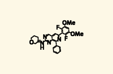 COc1cc(OC)c(F)c(-c2cc3cnc(N[C@H]4CCCOC4)nc3c(-c3ccccc3)n2)c1F